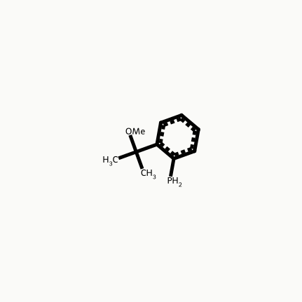 COC(C)(C)c1ccccc1P